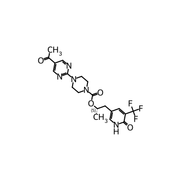 CC(=O)c1cnc(N2CCN(C(=O)O[C@@H](C)Cc3c[nH]c(=O)c(C(F)(F)F)c3)CC2)nc1